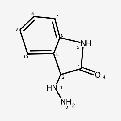 NNC1C(=O)Nc2ccccc21